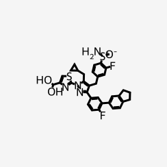 N[S+]([O-])c1ccc(Cc2c(-c3ccc(F)c(-c4ccc5c(c4)CCC5)c3)nn(-c3nc(C(O)O)cs3)c2CC2CC2)cc1F